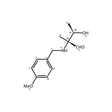 COc1ccc(CN[C@@](C)(C=O)[C@@H](C)O)cc1